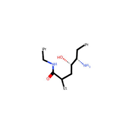 CCC(C[C@H](O)[C@@H](N)CC(C)C)C(=O)NCC(C)C